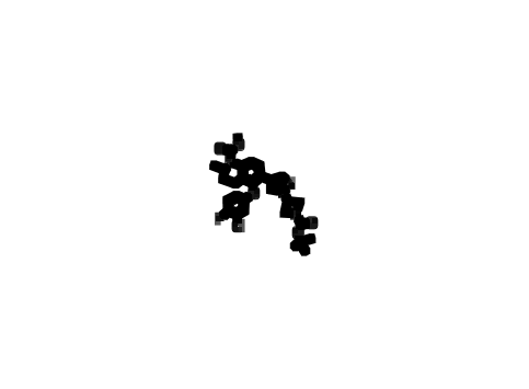 COC(=O)N1c2ccc(-c3cnn(C4CN(C(=O)OC(C)(C)C)C4)c3)c(Oc3ccc(F)c(Cl)c3)c2CCC1C